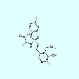 Cc1ncc(COP(=O)(NC(C)C(=O)O)Oc2ccc(Cl)cc2)c(CN)c1O